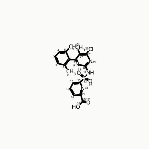 Cc1cccc(C)c1-c1nc(NS(=O)(=O)c2cccc(C(=O)O)n2)nc(Cl)c1C